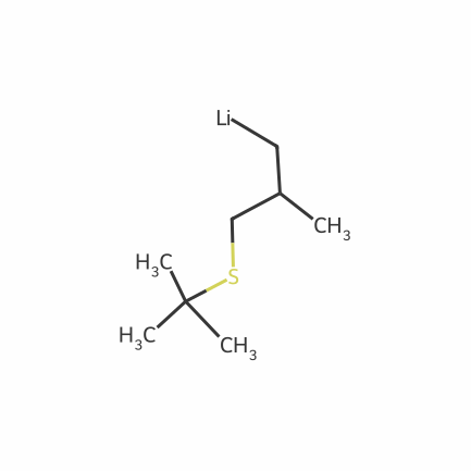 [Li][CH2]C(C)CSC(C)(C)C